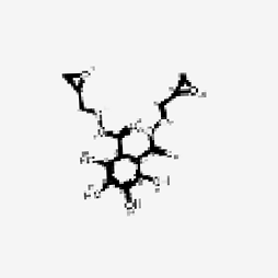 O=C(OOCC1CO1)c1c(O)c(O)c(O)c(O)c1C(=O)OOCC1CO1